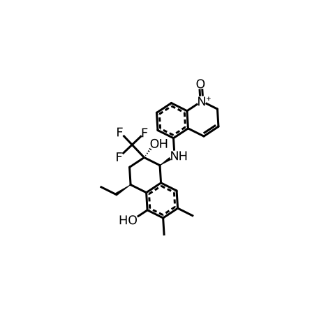 CC[C@H]1C[C@@](O)(C(F)(F)F)[C@@H](Nc2cccc3c2C=CC[N+]3=O)c2cc(C)c(C)c(O)c21